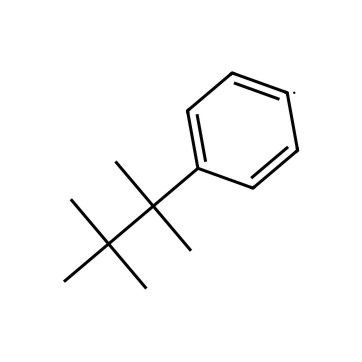 CC(C)(C)C(C)(C)c1cc[c]cc1